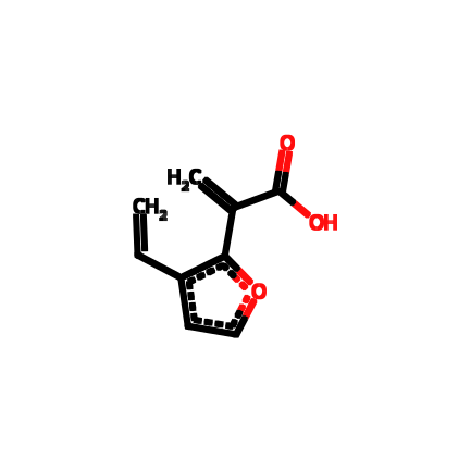 C=Cc1ccoc1C(=C)C(=O)O